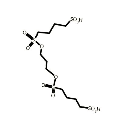 O=S(=O)(O)CCCCS(=O)(=O)OCCCOS(=O)(=O)CCCCS(=O)(=O)O